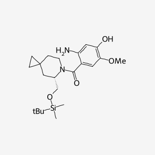 COc1cc(C(=O)N2CCC3(CC3)C[C@H]2CO[Si](C)(C)C(C)(C)C)c(N)cc1O